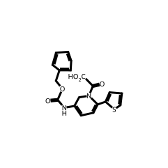 O=C(NC1=CC=C(c2cccs2)N(C(=O)C(=O)O)C1)OCc1ccccc1